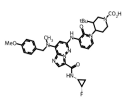 COc1ccc(CN(C)c2cc(Nc3cccn(C4CCN(C(=O)O)CC4C(C)(C)C)c3=O)nn3c(C(=O)N[C@@H]4C[C@@H]4F)cnc23)cc1